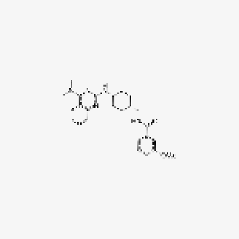 COc1cccc(C(=O)NC[C@H]2CC[C@@H](Nc3nc(N(C)C)c4ccccc4n3)CC2)c1